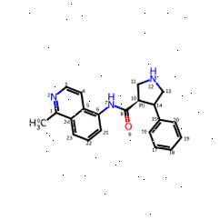 Cc1nccc2c(NC(=O)[C@H]3CNCC3c3ccccc3)cccc12